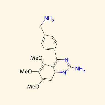 COc1cc2nc(N)nc(-c3ccc(CN)cc3)c2c(OC)c1OC